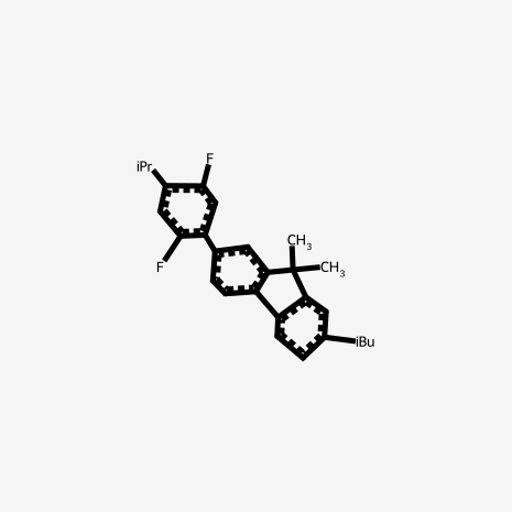 CCC(C)c1ccc2c(c1)C(C)(C)c1cc(-c3cc(F)c(C(C)C)cc3F)ccc1-2